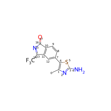 Cc1nc(N)sc1-c1ccc2c(c1)C(C(F)(F)F)=NC2=O